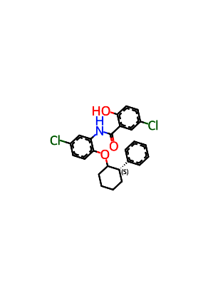 O=C(Nc1cc(Cl)ccc1OC1CCCC[C@H]1c1ccccc1)c1cc(Cl)ccc1O